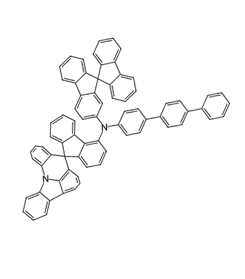 c1ccc(-c2ccc(-c3ccc(N(c4ccc5c(c4)C4(c6ccccc6-c6ccccc64)c4ccccc4-5)c4cccc5c4-c4ccccc4C54c5ccccc5-n5c6ccccc6c6cccc4c65)cc3)cc2)cc1